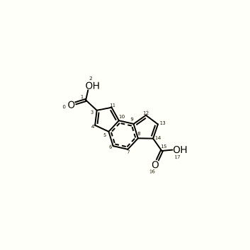 O=C(O)C1=Cc2ccc3c(c2=C1)=CC=C3C(=O)O